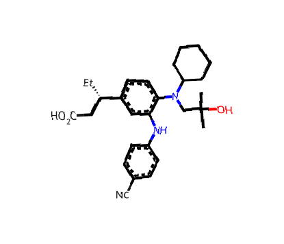 CC[C@@H](CC(=O)O)c1ccc(N(CC(C)(C)O)C2CCCCC2)c(Nc2ccc(C#N)cc2)c1